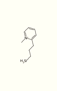 C[n+]1ccccc1CCC[SiH3]